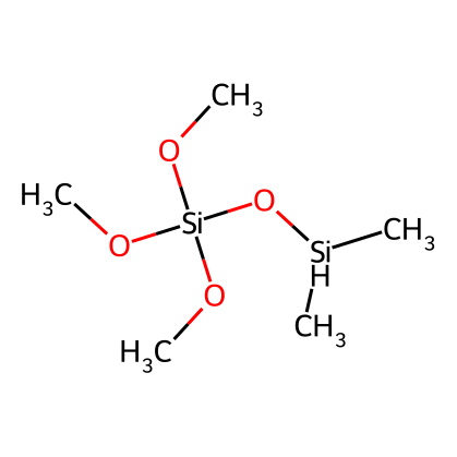 CO[Si](OC)(OC)O[SiH](C)C